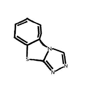 c1ccc2c(c1)sc1nncn12